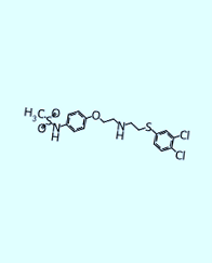 CS(=O)(=O)Nc1ccc(OCCNCCSc2ccc(Cl)c(Cl)c2)cc1